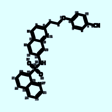 N#Cc1ccc(OCCc2ccc3ccc(NS(=O)(=O)c4cccc5cccnc45)cc3n2)cc1